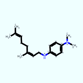 CC(C)=CCCC(C)=CCNc1ccc(N(C)C)cc1